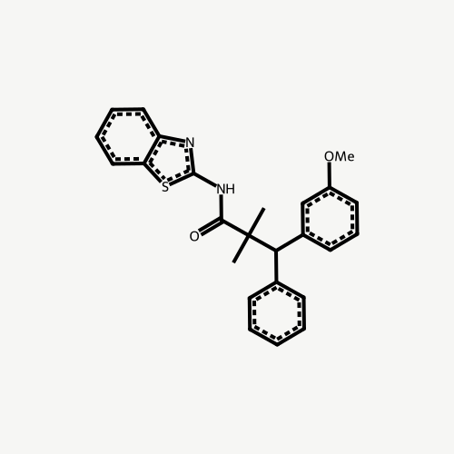 COc1cccc(C(c2ccccc2)C(C)(C)C(=O)Nc2nc3ccccc3s2)c1